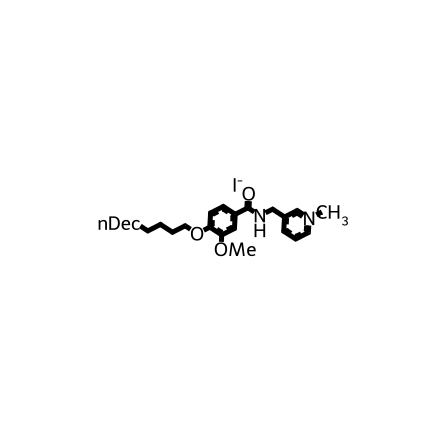 CCCCCCCCCCCCCCOc1ccc(C(=O)NCc2ccc[n+](C)c2)cc1OC.[I-]